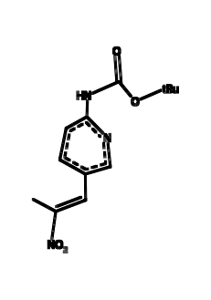 CC(=Cc1ccc(NC(=O)OC(C)(C)C)nc1)[N+](=O)[O-]